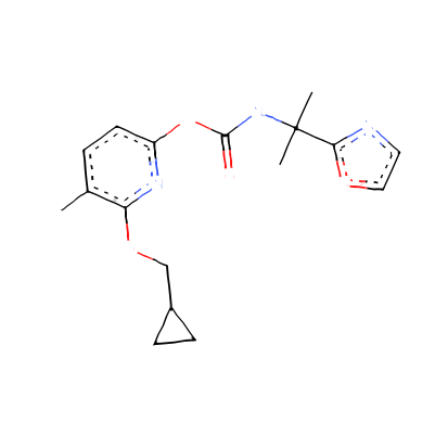 CC(C)(NC(=O)Oc1ccc(C(F)(F)F)c(OCC2CC2)n1)c1ncco1